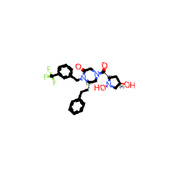 O=C([C@@H]1C[C@@H](O)CN1O)N1CC(=O)N(Cc2cccc(C(F)(F)F)c2)[C@@H](CCc2ccccc2)C1